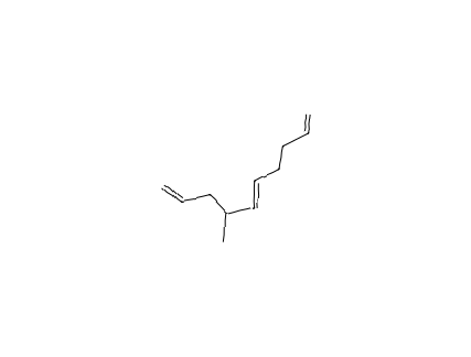 C=CCCC=CC(C)CC=C